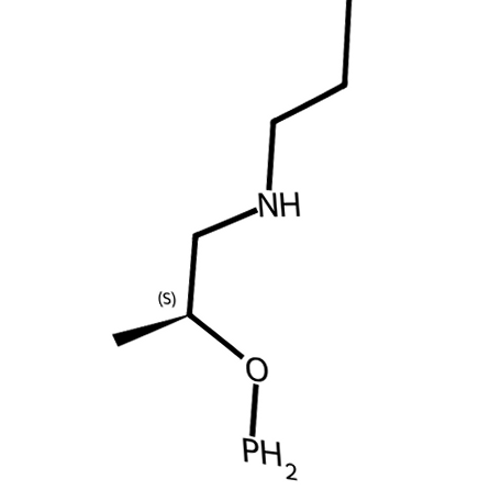 CCCNC[C@H](C)OP